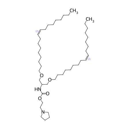 CCCCCCCC/C=C\CCCCCCCCOCC(COCCCCCCCC/C=C\CCCCCCCC)NC(=O)OCCN1CCCC1